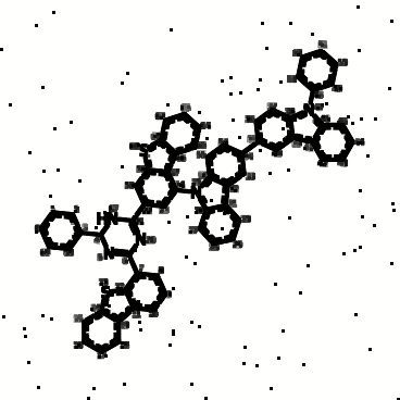 c1ccc(C2N=C(c3cccc4c3sc3ccccc34)N=C(c3cc(-n4c5ccccc5c5cc(-c6ccc7c(c6)c6ccccc6n7-c6ccccc6)ccc54)c4c(c3)sc3ccccc34)N2)cc1